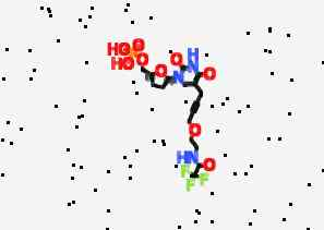 O=C(NCCOCC#CCc1cn([C@H]2CC[C@@H](COP(=O)(O)O)O2)c(=O)[nH]c1=O)C(F)(F)F